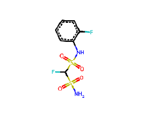 NS(=O)(=O)C(F)S(=O)(=O)Nc1ccccc1F